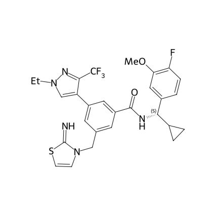 CCn1cc(-c2cc(Cn3ccsc3=N)cc(C(=O)N[C@H](c3ccc(F)c(OC)c3)C3CC3)c2)c(C(F)(F)F)n1